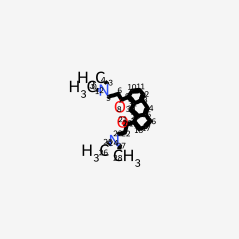 CCN(CC)CCC(=O)c1cccc2cc3cccc(C(=O)CCN(CC)CC)c3cc12